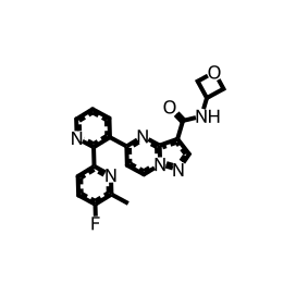 Cc1nc(-c2ncccc2-c2ccn3ncc(C(=O)NC4COC4)c3n2)ccc1F